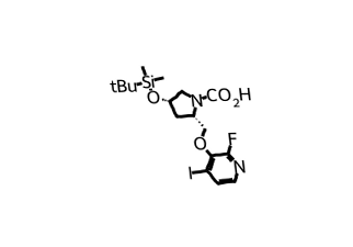 CC(C)(C)[Si](C)(C)O[C@H]1C[C@@H](COc2c(I)ccnc2F)N(C(=O)O)C1